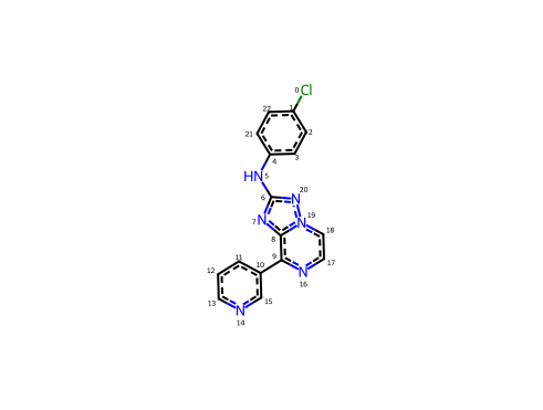 Clc1ccc(Nc2nc3c(-c4cccnc4)nccn3n2)cc1